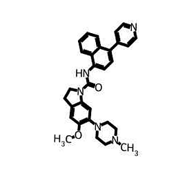 COc1cc2c(cc1N1CCN(C)CC1)N(C(=O)Nc1ccc(-c3ccncc3)c3ccccc13)CC2